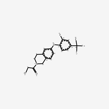 O=C(CCl)N1CCc2cc(Oc3ccc(C(F)(F)F)cc3F)ccc2C1